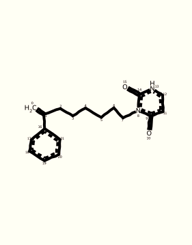 C=C(CCCCCCn1c(=O)cc[nH]c1=O)c1ccccc1